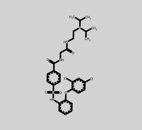 CC(C)N(CCNC(=O)CNC(=O)c1ccc(S(=O)(=O)Nc2ccccc2Oc2ccc(Cl)cc2Cl)cc1)C(C)C